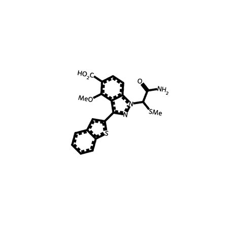 COc1c(C(=O)O)ccc2c1c(-c1cc3ccccc3s1)nn2C(SC)C(N)=O